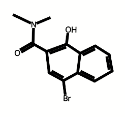 CN(C)C(=O)c1cc(Br)c2ccccc2c1O